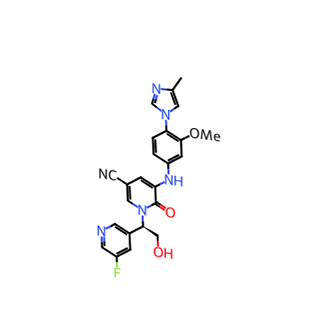 COc1cc(Nc2cc(C#N)cn([C@@H](CO)c3cncc(F)c3)c2=O)ccc1-n1cnc(C)c1